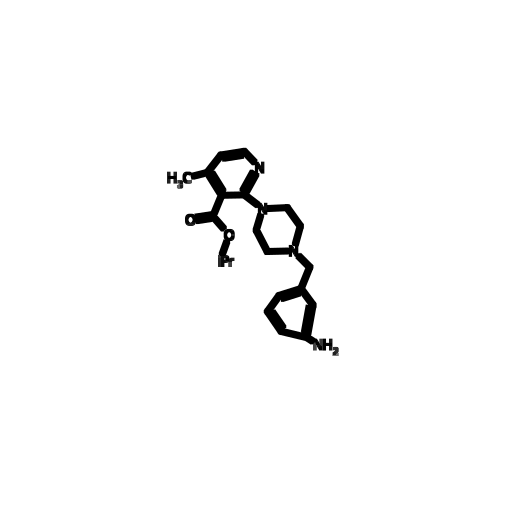 Cc1ccnc(N2CCN(Cc3cccc(N)c3)CC2)c1C(=O)OC(C)C